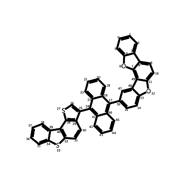 c1ccc2c(c1)oc1c2ccc2oc3ccc(-c4c5ccccc5c(-c5csc6c5ccc5sc7ccccc7c56)c5ccccc45)cc3c21